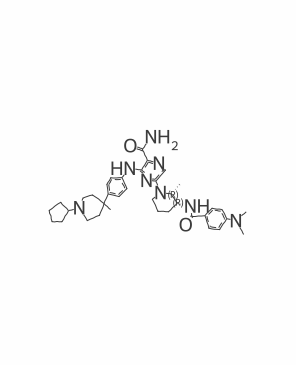 C[C@@H]1[C@H](NC(=O)c2ccc(N(C)C)cc2)CCCN1c1cnc(C(N)=O)c(Nc2ccc(C3(C)CCN(C4CCCC4)CC3)cc2)n1